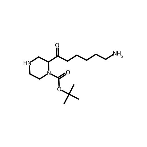 CC(C)(C)OC(=O)N1CCNCC1C(=O)CCCCCN